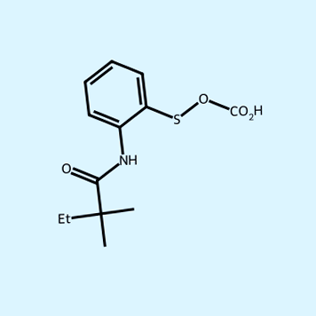 CCC(C)(C)C(=O)Nc1ccccc1SOC(=O)O